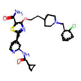 NC(=O)c1sc(-c2ccnc(NC(=O)C3CC3)c2)nc1OCCC1CCN(Cc2ccccc2Cl)CC1